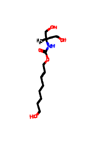 CC(CO)(CO)NC(=O)OCCCCCCCCO